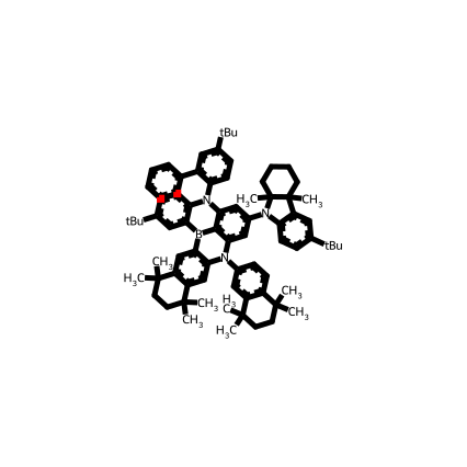 CC(C)(C)c1ccc2c(c1)B1c3cc4c(cc3N(c3ccc5c(c3)C(C)(C)CCC5(C)C)c3cc(N5c6ccc(C(C)(C)C)cc6C6(C)CCCCC56C)cc(c31)N2c1ccc(C(C)(C)C)cc1-c1ccccc1)C(C)(C)CCC4(C)C